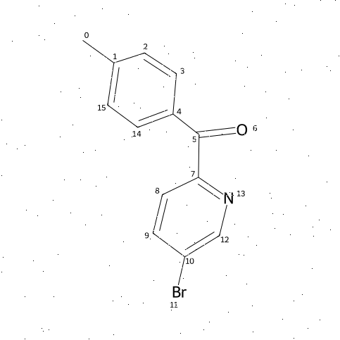 Cc1ccc(C(=O)c2ccc(Br)cn2)cc1